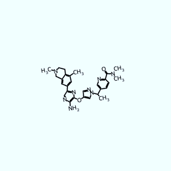 Cc1cc(-c2cnc(N)c(Oc3cnn(C(C)c4ccc(C(=O)N(C)C)nc4)c3)n2)cc2c1CCN(C)C2